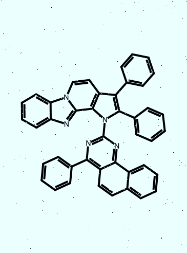 c1ccc(-c2nc(-n3c(-c4ccccc4)c(-c4ccccc4)c4ccn5c6ccccc6nc5c43)nc3c2ccc2ccccc23)cc1